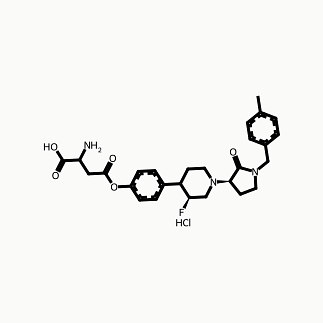 Cc1ccc(CN2CC[C@@H](N3CCC(c4ccc(OC(=O)CC(N)C(=O)O)cc4)[C@H](F)C3)C2=O)cc1.Cl